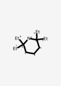 CCC1(CC)CCCC(CC)(CC)[N]1